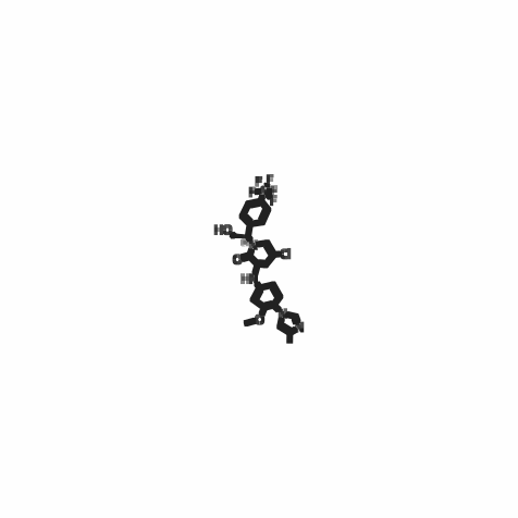 COc1cc(Nc2cc(Cl)cn([C@@H](CO)c3ccc(S(F)(F)(F)(F)F)cc3)c2=O)ccc1-n1cnc(C)c1